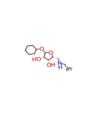 CC(C)CNC[C@H]1O[C@H](OC2CCCCC2)[C@@H](O)[C@H]1O